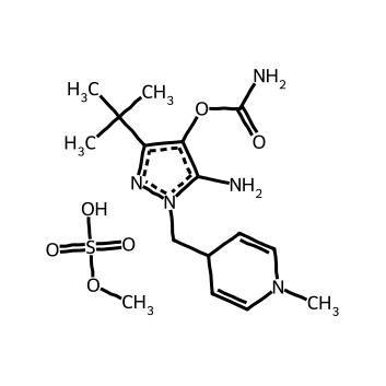 CN1C=CC(Cn2nc(C(C)(C)C)c(OC(N)=O)c2N)C=C1.COS(=O)(=O)O